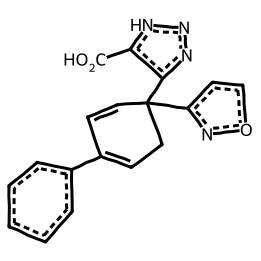 O=C(O)c1[nH]nnc1C1(c2ccon2)C=CC(c2ccccc2)=CC1